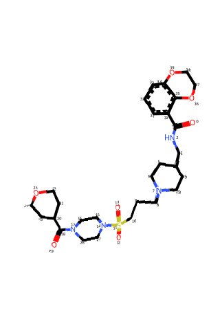 O=C(NCC1CCN(CCCS(=O)(=O)N2CCN(C(=O)C3CCOCC3)CC2)CC1)c1cccc2c1OCCO2